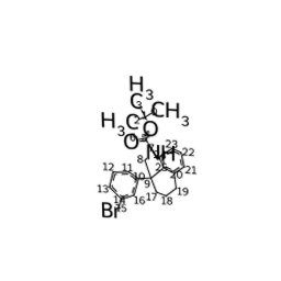 CC(C)(C)OC(=O)NCC1(c2cccc(Br)c2)CCCc2ccccc21